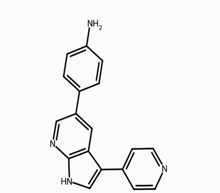 Nc1ccc(-c2cnc3[nH]cc(-c4ccncc4)c3c2)cc1